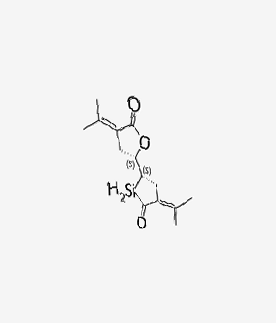 CC(C)=C1C[C@@H]([C@@H]2CC(=C(C)C)C(=O)[SiH2]2)OC1=O